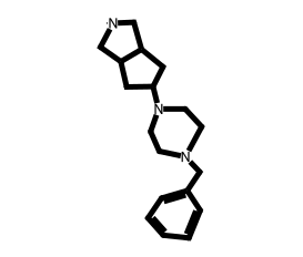 c1ccc(CN2CCN(C3CC4C[N]CC4C3)CC2)cc1